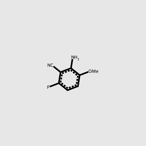 COc1ccc(F)c(C#N)c1N